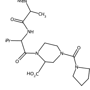 CNC(C)C(=O)NC(C(=O)N1CCN(C(=O)N2CCCC2)CC1C(=O)O)C(C)C